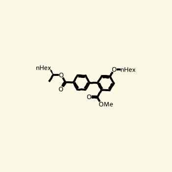 CCCCCCOc1ccc(C(=O)OC)c(-c2ccc(C(=O)O[C@@H](C)CCCCCC)cc2)c1